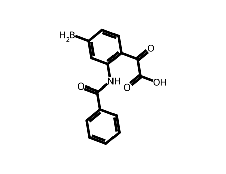 Bc1ccc(C(=O)C(=O)O)c(NC(=O)c2ccccc2)c1